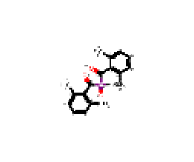 CCCCP(=O)(C(=O)c1c(C)cccc1C)C(=O)c1c(C(F)(F)F)cccc1C(F)(F)F